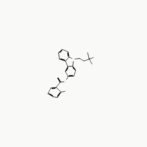 CC(C)(O)CCn1c2ccccc2c2cc(NC(=O)c3ccccc3Cl)ccc21